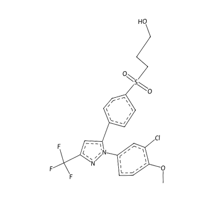 COc1ccc(-n2nc(C(F)(F)F)cc2-c2ccc(S(=O)(=O)CCCO)cc2)cc1Cl